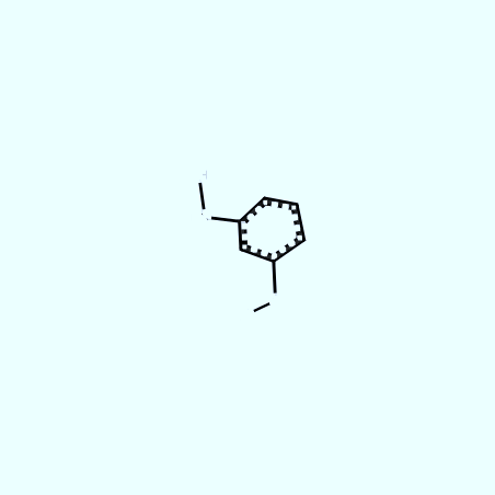 ONc1cccc(SC(F)(F)F)c1